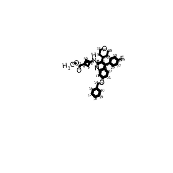 COC(=O)C12CC(Nc3nc4cc(OCc5ccccc5)ccc4c(-c4ccc(F)cc4)c3C3CCOCC3)(C1)C2